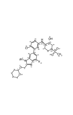 CC(C)n1c(COC2CCCCO2)nc2c(F)cc(-c3nc(N[C@@H]4CCN(S(C)(=O)=O)C[C@H]4O)ncc3Cl)cc21